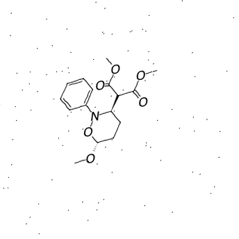 COC(=O)C(C(=O)OC)[C@H]1CC[C@H](OC)ON1c1ccccc1